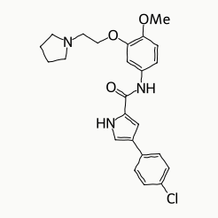 COc1ccc(NC(=O)c2cc(-c3ccc(Cl)cc3)c[nH]2)cc1OCCN1CCCC1